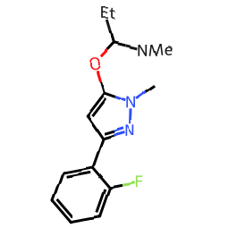 CCC(NC)Oc1cc(-c2ccccc2F)nn1C